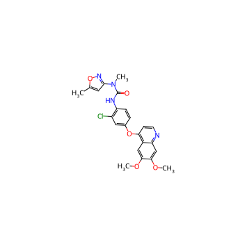 COc1cc2nccc(Oc3ccc(NC(=O)N(C)c4cc(C)on4)c(Cl)c3)c2cc1OC